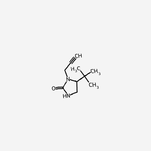 C#CCN1C(=O)NCC1C(C)(C)C